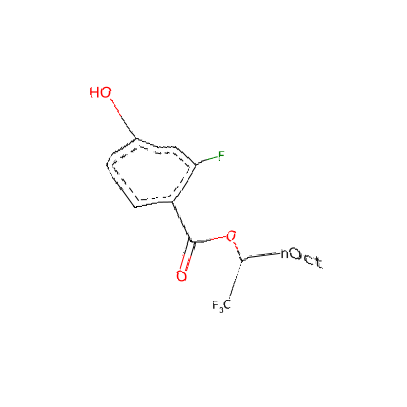 CCCCCCCCC(OC(=O)c1ccc(O)cc1F)C(F)(F)F